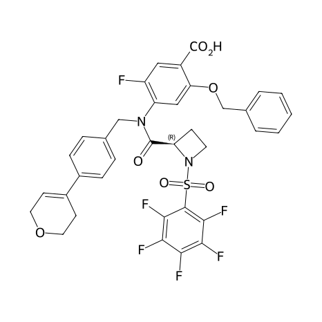 O=C(O)c1cc(F)c(N(Cc2ccc(C3=CCOCC3)cc2)C(=O)[C@H]2CCN2S(=O)(=O)c2c(F)c(F)c(F)c(F)c2F)cc1OCc1ccccc1